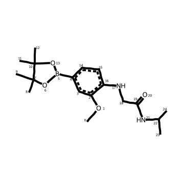 COc1cc(B2OC(C)(C)C(C)(C)O2)ccc1NCC(=O)NC(C)C